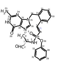 C[C@@H](C=O)NP(=O)(/C=C/c1ccccc1Cn1cnc2c(=O)[nH]c(N)nc21)Oc1ccccc1